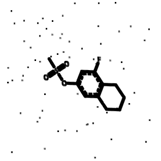 CS(=O)(=O)Oc1cc(F)c2c(c1)CCCC2